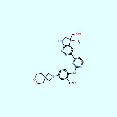 COc1cc(N2CC3(CCOCC3)C2)ccc1Nc1nccc(-c2cnc3c(c2)C(C)(CO)CN3)n1